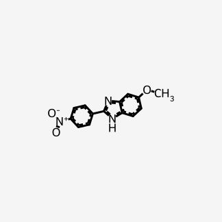 COc1ccc2[nH]c(-c3ccc([N+](=O)[O-])cc3)nc2c1